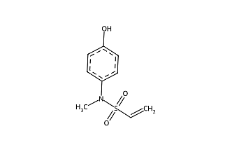 C=CS(=O)(=O)N(C)c1ccc(O)cc1